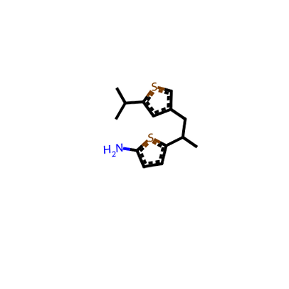 CC(C)c1cc(CC(C)c2ccc(N)s2)cs1